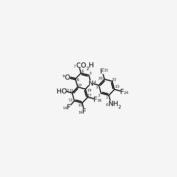 Nc1cc(-n2cc(C(=O)O)c(=O)c3c(O)c(F)c(F)c(F)c32)c(F)cc1F